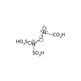 CC1=C(/C=C/C2=[N+](CCCCCC(=O)O)c3ccc(C)cc3C2(C)C)CCC/C1=C\C=C1\N(CCCCS(=O)(=O)O)c2ccc(S(=O)(=O)O)cc2C1(C)C